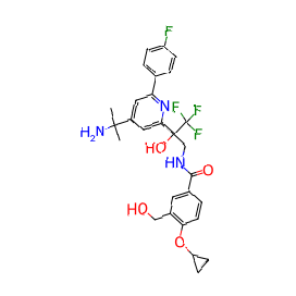 CC(C)(N)c1cc(-c2ccc(F)cc2)nc(C(O)(CNC(=O)c2ccc(OC3CC3)c(CO)c2)C(F)(F)F)c1